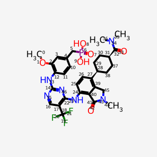 COc1cc(CP(=O)(O)O)ccc1Nc1ncc(C(F)(F)F)c(Nc2ccc([C@H]3CC[C@@H](C(=O)N(C)C)CC3)c3c2C(=O)N(C)C3)n1